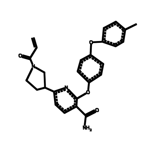 C=CC(=O)N1CCC(c2ccc(C(N)=O)c(Oc3ccc(Oc4ccc(C)cc4)cc3)n2)C1